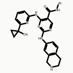 CC(C)NC(=O)c1cnc(Nc2ccc3c(c2)CNCC3)nc1Nc1cccc(C2(C#N)CC2)n1